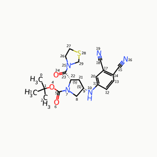 CC(C)(C)OC(=O)N1C[C@@H](Nc2ccc(C#N)c(C#N)c2)C[C@H]1C(=O)N1CCSC1